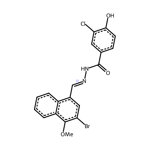 COc1c(Br)cc(/C=N/NC(=O)c2ccc(O)c(Cl)c2)c2ccccc12